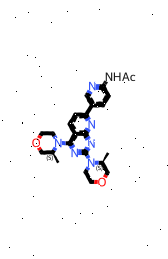 CC(=O)Nc1ccc(-c2ccc3c(N4CCOC[C@@H]4C)nc(N4CCOC[C@@H]4C)nc3n2)cn1